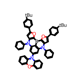 CC(C)(C)c1ccc(-c2cc3c(o2)B2c4oc(-c5ccc(C(C)(C)C)cc5)cc4N(c4ccccc4)c4cc(N5c6ccccc6Oc6ccccc65)cc(c42)N3c2ccccc2)cc1